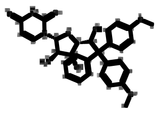 COc1ccc(C(c2ccccc2)(c2ccc(OC)cc2)C(O)[C@H]2O[C@@H](n3ccc(=O)[nH]c3=O)[C@H](N)[C@@H]2O)cc1